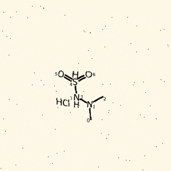 CN(C)N[SH](=O)=O.Cl